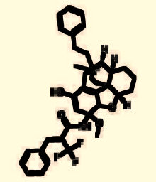 COC1(NC(=O)C(=Cc2ccccc2)C(F)(F)F)C=C(O)C2=C3C1O[C@H]1CCC[C@H]4[C@@H](C2)[N+](C)(CCc2ccccc2)CC[C@]314